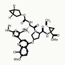 C=C[C@@H]1C[C@]1(NC(=O)C1C[C@@H](Oc2cc(-c3nc(NC(C)C)sc3C)nc3c(Cl)c(OC)ccc23)CN1C(=O)[C@@H](NC(=O)O[C@@H]1C[C@@H]2C[C@@H]2C1)C(C)(C)C)C(=O)OC